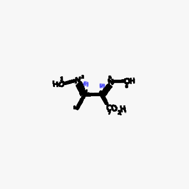 CC(=N\O)/C(=N/O)C(=O)O